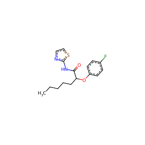 CCCCCC(Oc1ccc(F)cc1)C(=O)Nc1nccs1